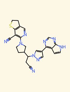 N#CCC(C1CCN(c2ncc3c(c2C#N)SCC3)C1)n1cc(-c2ncnc3[nH]ccc23)cn1